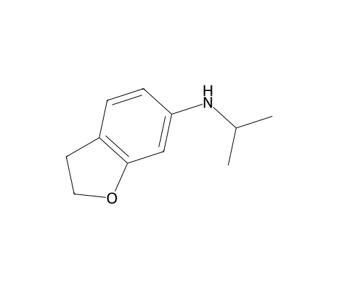 CC(C)Nc1ccc2c(c1)OCC2